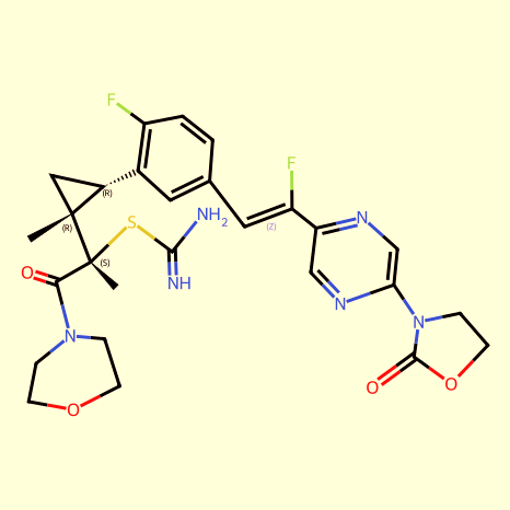 C[C@@](SC(=N)N)(C(=O)N1CCOCC1)[C@]1(C)C[C@@H]1c1cc(/C=C(\F)c2cnc(N3CCOC3=O)cn2)ccc1F